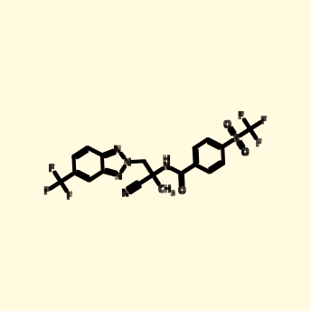 CC(C#N)(Cn1nc2ccc(C(F)(F)F)cc2n1)NC(=O)c1ccc(S(=O)(=O)C(F)(F)F)cc1